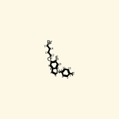 Fc1ccc(-n2ccc3cc(OCCCCBr)c(F)cc32)cc1